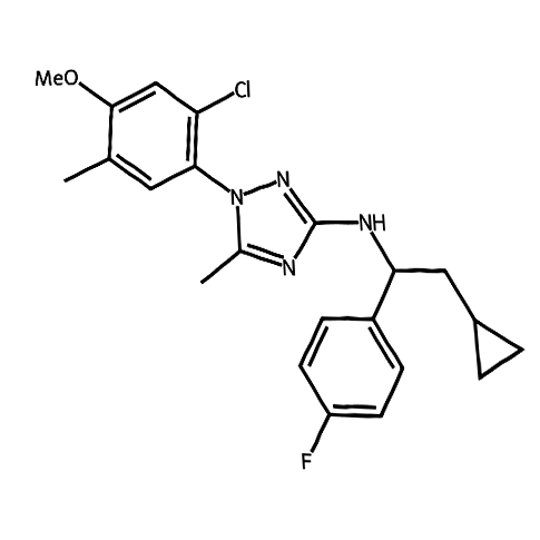 COc1cc(Cl)c(-n2nc(NC(CC3CC3)c3ccc(F)cc3)nc2C)cc1C